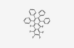 Fc1c(F)c(F)c2c(F)c3c(-c4ccccc4)c(-c4ccccc4)c(-c4ccccc4)c(-c4ccccc4)c3c(F)c2c1F